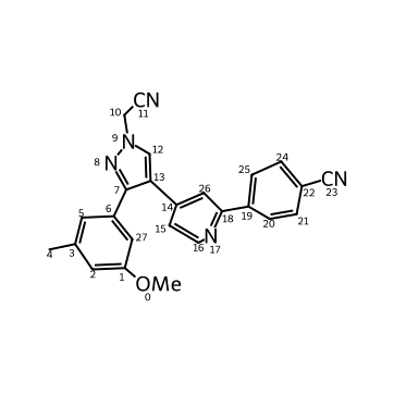 COc1cc(C)cc(-c2nn(CC#N)cc2-c2ccnc(-c3ccc(C#N)cc3)c2)c1